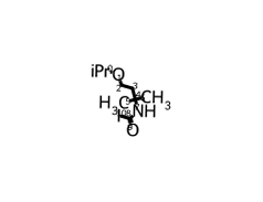 CC(C)OCCC(C)(C)NC(=O)I